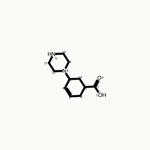 O=C(O)C1CC=CC(N2CCNCC2)C1